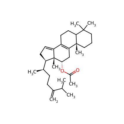 C=C(CC[C@@H](C)[C@H]1CC=C2C3=C(C[C@H](OC(C)=O)[C@@]21C)[C@@]1(C)CCCC(C)(C)C1CC3)C(C)C